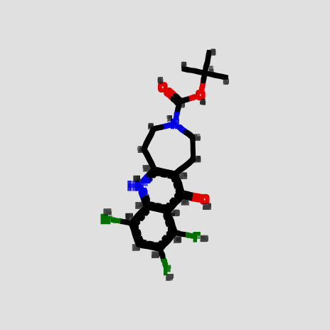 CC(C)(C)OC(=O)N1CCc2[nH]c3c(Br)cc(F)c(F)c3c(=O)c2CC1